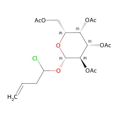 C=CCC(Cl)O[C@@H]1O[C@H](COC(C)=O)[C@H](OC(C)=O)[C@H](OC(C)=O)[C@H]1OC(C)=O